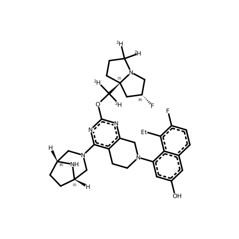 [2H]C1([2H])CC[C@@]2(C([2H])([2H])Oc3nc4c(c(N5C[C@H]6CC[C@@H](C5)N6)n3)CCN(c3cc(O)cc5ccc(F)c(CC)c35)C4)C[C@@H](F)CN12